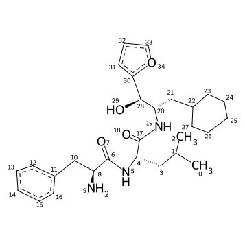 CC(C)C[C@H](NC(=O)[C@@H](N)Cc1ccccc1)C(=O)N[C@@H](CC1CCCCC1)[C@@H](O)c1ccco1